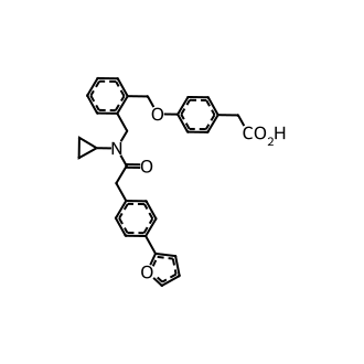 O=C(O)Cc1ccc(OCc2ccccc2CN(C(=O)Cc2ccc(-c3ccco3)cc2)C2CC2)cc1